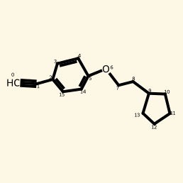 C#Cc1ccc(OCCC2CCCC2)cc1